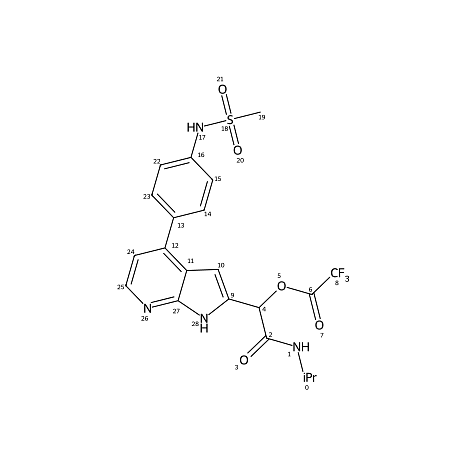 CC(C)NC(=O)C(OC(=O)C(F)(F)F)c1cc2c(-c3ccc(NS(C)(=O)=O)cc3)ccnc2[nH]1